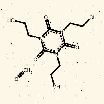 C=O.O=c1n(CCO)c(=O)n(CCO)c(=O)n1CCO